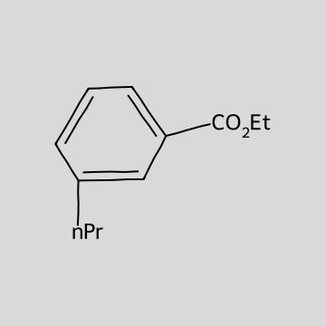 CCCc1cccc(C(=O)OCC)c1